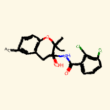 CC(=O)c1ccc2c(c1)CC(O)(NC(=O)c1cccc(Cl)c1Cl)C(C)(C)O2